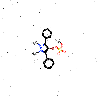 COS(=O)(=O)[O-].Cn1c(-c2ccccc2)c(Br)c(-c2ccccc2)[n+]1C